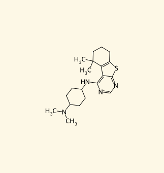 CN(C)C1CCC(Nc2ncnc3sc4c(c23)C(C)(C)CCC4)CC1